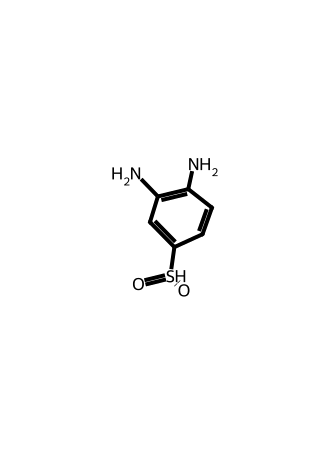 Nc1ccc([SH](=O)=O)cc1N